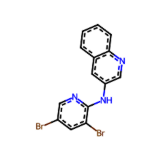 Brc1cnc(Nc2cnc3ccccc3c2)c(Br)c1